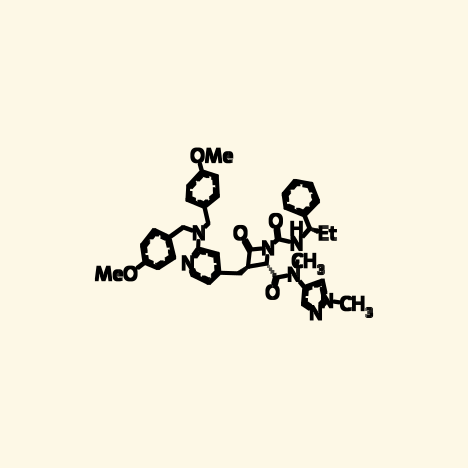 CC[C@@H](NC(=O)N1C(=O)[C@H](Cc2ccnc(N(Cc3ccc(OC)cc3)Cc3ccc(OC)cc3)c2)[C@H]1C(=O)N(C)c1cnn(C)c1)c1ccccc1